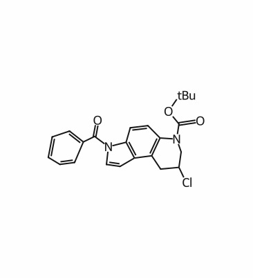 CC(C)(C)OC(=O)N1CC(Cl)Cc2c1ccc1c2ccn1C(=O)c1ccccc1